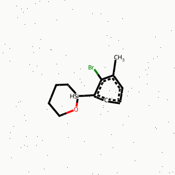 Cc1cccc([SiH]2CCCCO2)c1Br